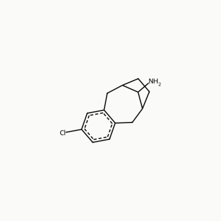 NC1C2CCC1Cc1cc(Cl)ccc1C2